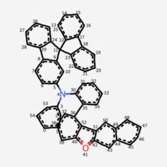 c1ccc(N(c2ccc3c(c2)C2(c4ccccc4-c4ccccc42)c2ccccc2-3)c2ccccc2-c2cccc3oc4cc5ccccc5cc4c23)cc1